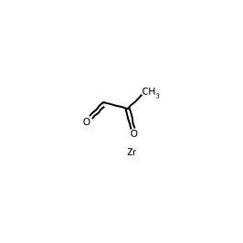 CC(=O)C=O.[Zr]